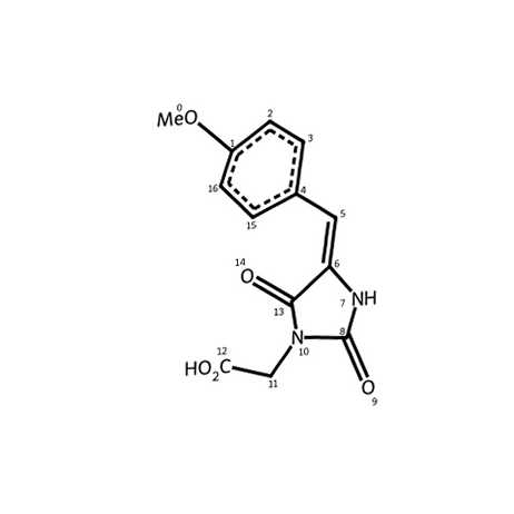 COc1ccc(C=C2NC(=O)N(CC(=O)O)C2=O)cc1